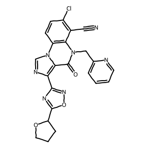 N#Cc1c(Cl)ccc2c1n(Cc1ccccn1)c(=O)c1c(-c3noc(C4CCCO4)n3)ncn12